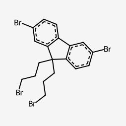 BrCCCC1(CCCBr)c2ccc(Br)cc2-c2ccc(Br)cc21